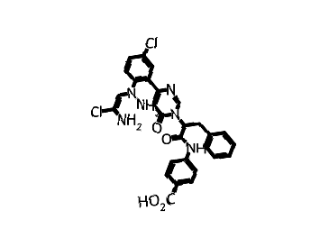 N/C(Cl)=C\N(N)c1ccc(Cl)cc1-c1cc(=O)n(C(Cc2ccccc2)C(=O)Nc2ccc(C(=O)O)cc2)cn1